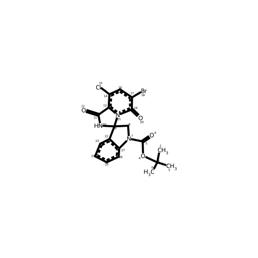 CC(C)(C)OC(=O)N1CC2(NC(=O)c3c(Cl)cc(Br)c(=O)n32)c2ccccc21